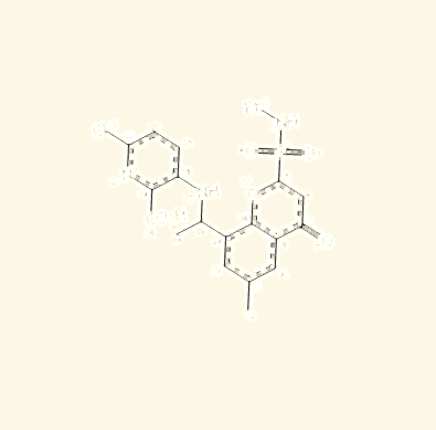 CCNS(=O)(=O)c1cc(=O)c2cc(C)cc(C(C)Nc3ccc(Cl)nc3C(=O)O)c2o1